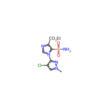 CCOC(=O)c1ncn(-c2nn(C)cc2Cl)c1S(N)(=O)=O